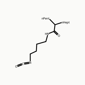 CCCCCCCC(CCCCC)C(=O)NCCCCN=C=O